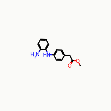 COC(=O)Cc1ccc(Nc2ccccc2N)cc1